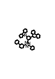 c1ccc(-c2cccc(-c3nc(-c4ccccc4)nc(-c4cc(-c5cc6ccccc6c6ccccc56)cc(-n5c6ccccc6c6ccccc65)c4)n3)c2)cc1